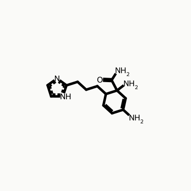 NC(=O)C1(N)C=C(N)C=CC1CCCc1ncc[nH]1